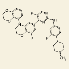 CN1CCC(c2ccc(Nc3ncc(F)c(-c4cc(F)c5c(c4)N(c4cccc6c4OCCO6)CCO5)n3)cc2F)CC1